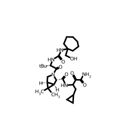 CC(C)(C)[C@H](NC(=O)NC1(CO)CCCCCC1)C(=O)N1C[C@H]2[C@@H]([C@H]1C(=O)NC(CC1CC1)C(=O)C(N)=O)C2(C)C